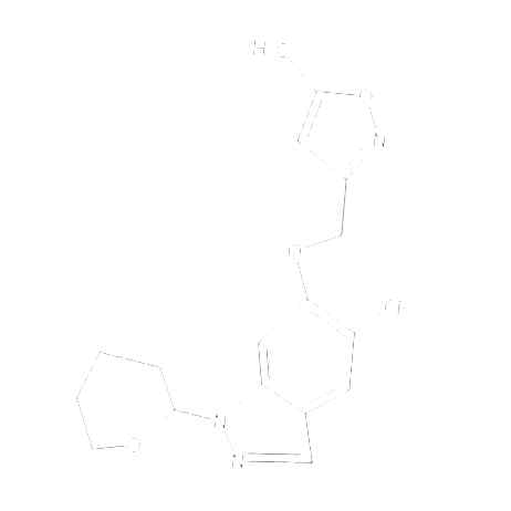 Cc1cc(COc2cc3c(cnn3C3CCCCO3)cc2C(F)(F)F)no1